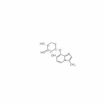 Cc1cnc2c(O[C@H]3SC[C@@H](O)[C@H](O)[C@H]3O)cccn12